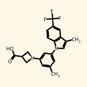 Cc1cc(N2CC(C(=O)O)C2)cc(-n2cc(C)c3cc(C(F)(F)F)ccc32)c1